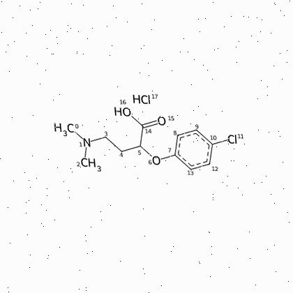 CN(C)CCC(Oc1ccc(Cl)cc1)C(=O)O.Cl